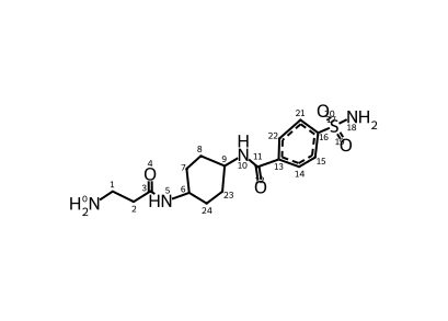 NCCC(=O)NC1CCC(NC(=O)c2ccc(S(N)(=O)=O)cc2)CC1